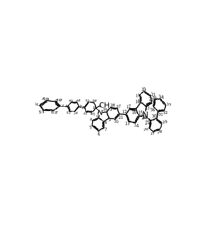 CC1(N2c3ccccc3C3C=C(c4ccc5c(c4)c4ccccc4n5-c4ccccc4-c4ccccc4)C=CC32)C=CC(c2ccc(-c3ccccc3)cc2)=CC1